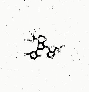 CC(C)NC(=O)c1cnccc1Nc1cc(-c2cc(Cl)ccc2F)nc2c1OCCN2C(=O)OC(C)(C)C